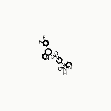 O=C(O[C@@H]1CC[C@@H](c2ccc(F)c(F)c2)Cc2cccnc21)N1CCC(n2c(=O)[nH]c3ncccc32)CC1